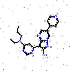 CCCN(CC)c1cc(-c2c(N)nn3cc(-c4ccncc4)cnc23)ncn1